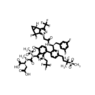 CN(C(=O)N(c1nn(CC(F)(F)F)c2c(-c3ccc(CCC(C)(C)S(C)(=O)=O)nc3[C@H](Cc3cc(F)cc(F)c3)NC(=O)Cn3nc(C(F)(F)F)c4c3C(F)(F)C3C[C@H]43)ccc(Cl)c12)S(C)(=O)=O)[C@@H](CC(=O)O)C(=O)O